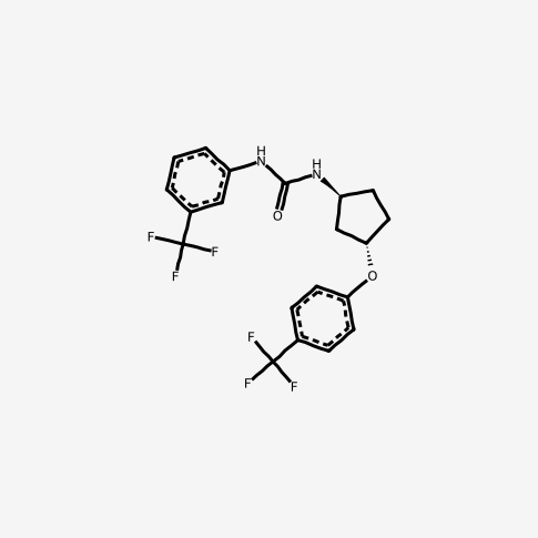 O=C(Nc1cccc(C(F)(F)F)c1)N[C@H]1CC[C@H](Oc2ccc(C(F)(F)F)cc2)C1